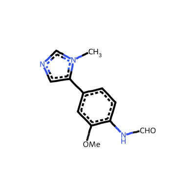 COc1cc(-c2cncn2C)ccc1NC=O